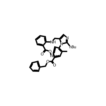 CCCCOC(=O)c1ccccc1NCc1cnc(CCCC)n1-c1ccc(C(=O)OCc2ccccc2)cc1C